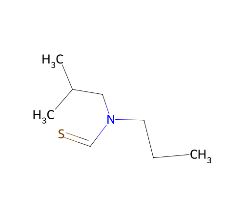 CCCN(C=S)CC(C)C